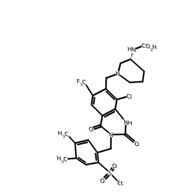 CCS(=O)(=O)c1cc(C)c(C)cc1Cn1c(=O)[nH]c2c(Cl)c(CN3CCC[C@@H](NC(=O)O)C3)c(C(F)(F)F)cc2c1=O